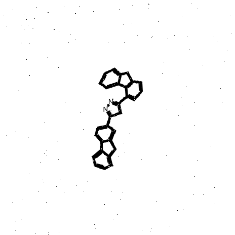 c1ccc2c(c1)Cc1cc(C3=NN=C(c4cccc5c4-c4ccccc4C5)C3)ccc1-2